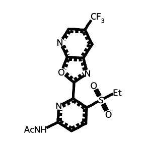 CCS(=O)(=O)c1ccc(NC(C)=O)nc1-c1nc2cc(C(F)(F)F)cnc2o1